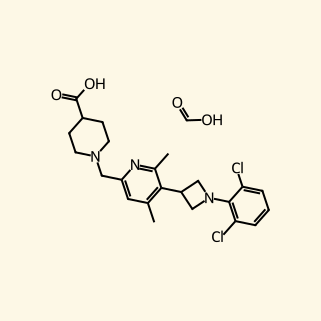 Cc1cc(CN2CCC(C(=O)O)CC2)nc(C)c1C1CN(c2c(Cl)cccc2Cl)C1.O=CO